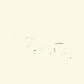 C=Cc1nc2c(s1)c1cnn(Cc3cccc4[nH]ncc34)c(=O)c1n2C